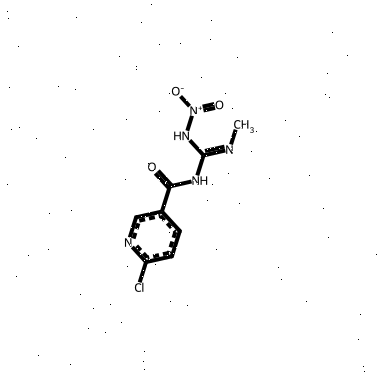 CN=C(NC(=O)c1ccc(Cl)nc1)N[N+](=O)[O-]